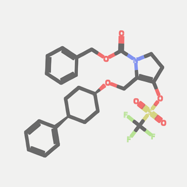 O=C(OCc1ccccc1)N1CCC(OS(=O)(=O)C(F)(F)F)=C1CO[C@H]1CC[C@@H](c2ccccc2)CC1